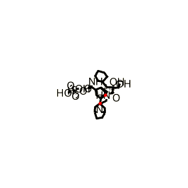 NC(=O)c1cccc(C2CC3CCC(C2)N3CCNC(=O)[C@@](O)(CO)CC2CCCCC2)c1.O.O=S(=O)(O)O